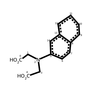 O=C(O)CN(CC(=O)O)c1ccc2ccccc2c1